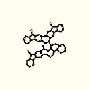 O=c1c2ccccc2c2cc3cc(-c4cc5ccccc5c5ccc6c7cc8c(cc7c(=O)c6c45)c(=O)c4ccccc48)c4cc5c(cc4c3cc12)c(=O)c1ccccc15